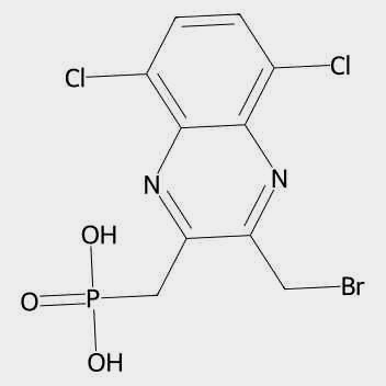 O=P(O)(O)Cc1nc2c(Cl)ccc(Cl)c2nc1CBr